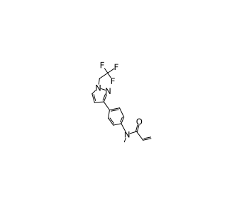 C=CC(=O)N(C)c1ccc(-c2ccn(CC(F)(F)F)n2)cc1